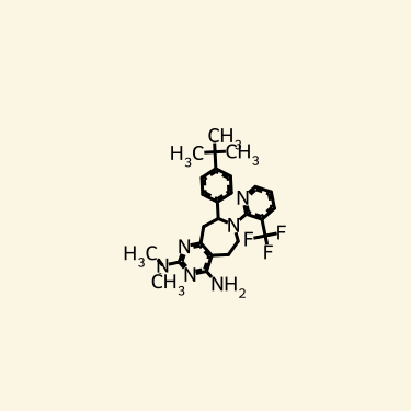 CN(C)c1nc(N)c2c(n1)CC(c1ccc(C(C)(C)C)cc1)N(c1ncccc1C(F)(F)F)CC2